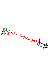 Cc1c(F)c(F)c(OC(=O)CCOCCOCCOCCOCCOCCOCCOCCC(=O)NCCCCC(C)(C)C)c(F)c1F